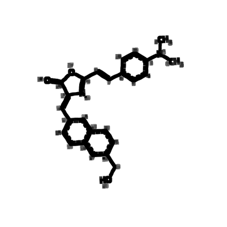 CN(C)c1ccc(C=CC2=NC(=Cc3ccc4cc(CO)ccc4c3)C(=O)O2)cc1